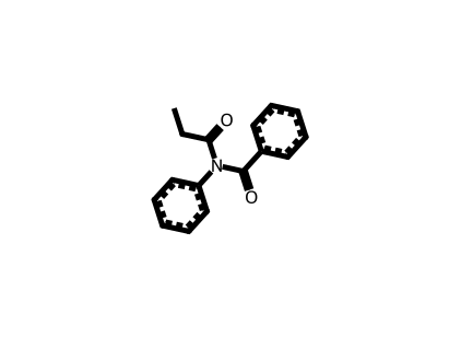 CCC(=O)N(C(=O)c1ccccc1)c1ccccc1